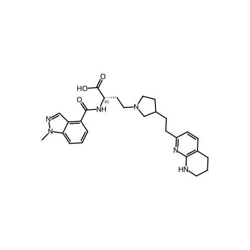 Cn1ncc2c(C(=O)N[C@@H](CCN3CCC(CCc4ccc5c(n4)NCCC5)C3)C(=O)O)cccc21